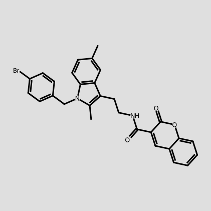 Cc1ccc2c(c1)c(CCNC(=O)c1cc3ccccc3oc1=O)c(C)n2Cc1ccc(Br)cc1